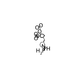 COC(=O)COc1ccc(C=C2CCCN(PP)C2)cc1[N+](=O)[O-]